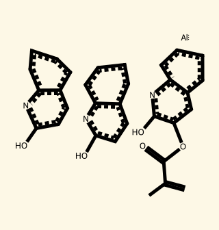 C=C(C)C(=O)Oc1cc2ccccc2nc1O.Oc1ccc2ccccc2n1.Oc1ccc2ccccc2n1.[Al]